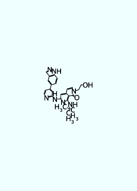 CC(C)(C)Nc1nc(Nc2cc(-c3ccc4[nH]ncc4c3)ccn2)cc2ccn(CCO)c(=O)c12